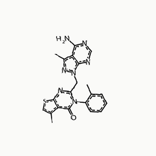 Cc1ccccc1-n1c(Cn2nc(C)c3c(N)ncnc32)nc2scc(C)c2c1=O